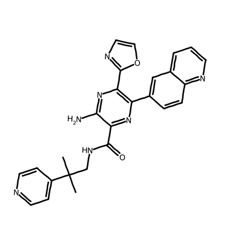 CC(C)(CNC(=O)c1nc(-c2ccc3ncccc3c2)c(-c2ncco2)nc1N)c1ccncc1